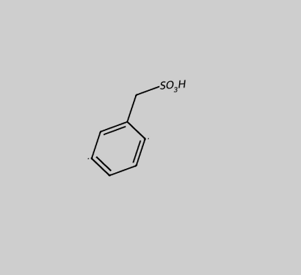 O=S(=O)(O)Cc1[c]cc[c]c1